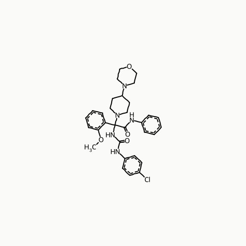 COc1ccccc1C(NC(=O)Nc1ccc(Cl)cc1)(C(=O)Nc1ccccc1)N1CCC(N2CCOCC2)CC1